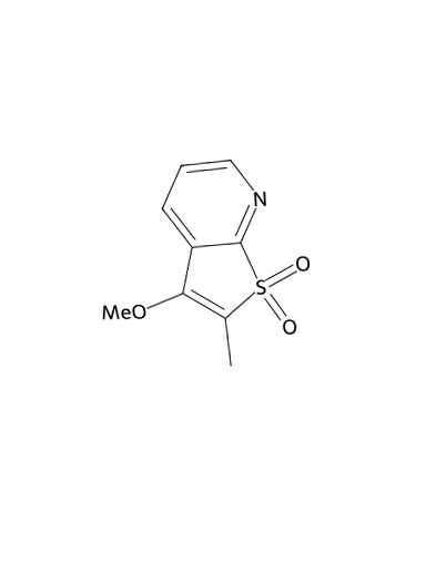 COC1=C(C)S(=O)(=O)c2ncccc21